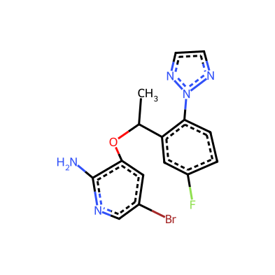 CC(Oc1cc(Br)cnc1N)c1cc(F)ccc1-n1nccn1